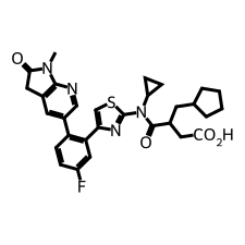 CN1C(=O)Cc2cc(-c3ccc(F)cc3-c3csc(N(C(=O)C(CC(=O)O)CC4CCCC4)C4CC4)n3)cnc21